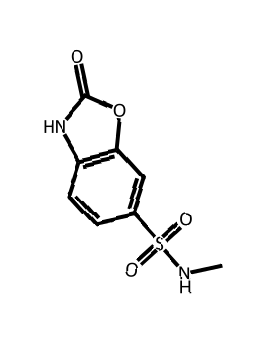 CNS(=O)(=O)c1ccc2[nH]c(=O)oc2c1